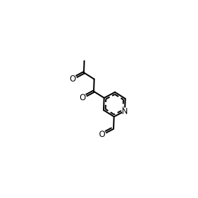 CC(=O)CC(=O)c1ccnc(C=O)c1